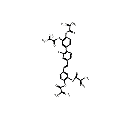 C=C(C)C(=O)Oc1ccc(/C=C/c2ccc(-c3ccc(OC(=O)C(=C)C)c(OC(=O)C(=C)C)c3)c(F)c2)cc1OC(=O)C(=C)C